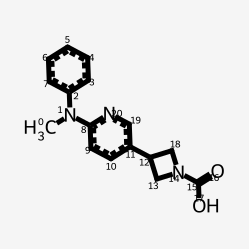 CN(c1ccccc1)c1ccc(C2CN(C(=O)O)C2)cn1